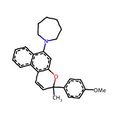 COc1ccc(C2(C)C=Cc3c(cc(N4CCCCCC4)c4ccccc34)O2)cc1